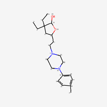 CCC1(CC)CC(CCN2CCN(c3ccc(C)cc3)CC2)OC1O